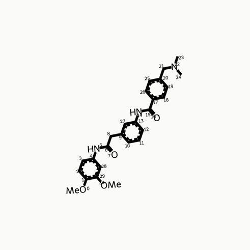 COc1ccc(NC(=O)Cc2cccc(NC(=O)c3ccc(CN(C)C)cc3)c2)cc1OC